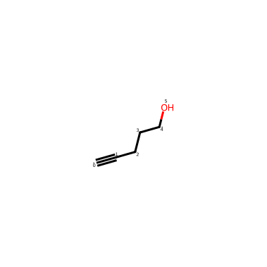 [C]#CCC[CH]O